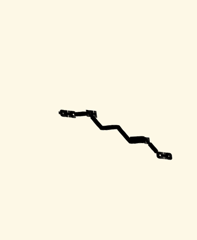 O=[C]NCCC=NC=O